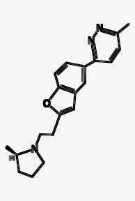 Cc1ccc(-c2ccc3oc(CCN4CCC[C@H]4C)cc3c2)nn1